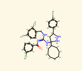 O=C(/N=C(/NCc1ccc(F)cc1Cl)NC1(C2CCCCCCC2)CC(c2ccc(F)cc2)NN1)c1cccc(Cl)c1